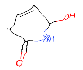 O=C1[C]C=CC(O)N1